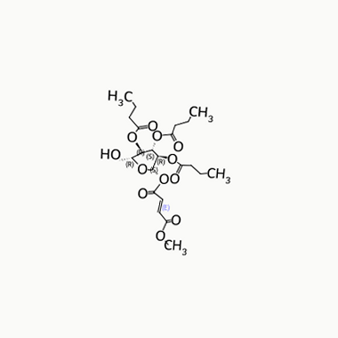 CCCC(=O)O[C@@H]1[C@@H](OC(=O)CCC)[C@H](OC(=O)/C=C/C(=O)OC)O[C@H](CO)[C@H]1OC(=O)CCC